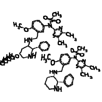 COc1ccc(N(c2nc(C)c(C)s2)S(C)(=O)=O)cc1CNC1CCCNC1c1ccccc1.COc1ccc(N(c2nc(C)c(C)s2)S(C)(=O)=O)cc1CN[C@H]1CCCN[C@H]1c1ccccc1.Cl.Cl.Cl.Cl.O